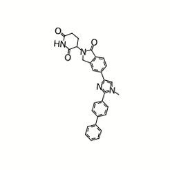 Cn1cc(-c2ccc3c(c2)CN(C2CCC(=O)NC2=O)C3=O)nc1-c1ccc(-c2ccccc2)cc1